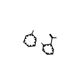 O=C([O-])c1ccccc1O.[Ca+2].[O-]c1ccccc1